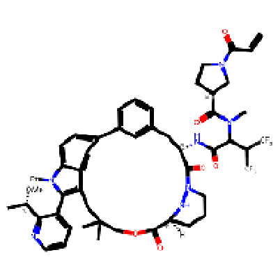 C=CC(=O)N1CC[C@H](C(=O)N(C)C(C(=O)N[C@H]2Cc3cccc(c3)-c3ccc4c(c3)c(c(-c3cccnc3[C@H](C)OC)n4CC)CC(C)(C)COC(=O)[C@@H]3CCCN(N3)C2=O)C(C(F)(F)F)C(F)(F)F)C1